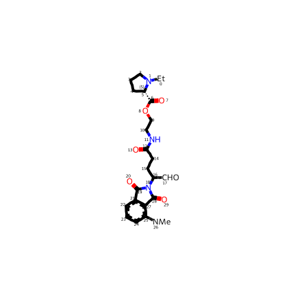 CCN1CCC[C@H]1C(=O)OCCNC(=O)CCC(C=O)N1C(=O)c2cccc(NC)c2C1=O